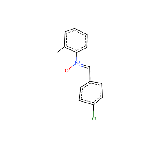 Cc1ccccc1[N+]([O-])=Cc1ccc(Cl)cc1